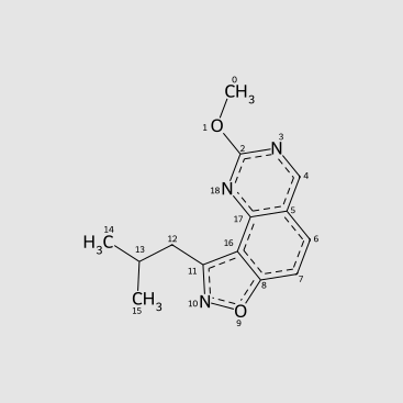 COc1ncc2ccc3onc(CC(C)C)c3c2n1